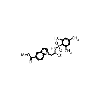 CC[C@@H](Cn1ccc2cc(C(=O)OC)ccc21)NS(=O)(=O)c1c(C)cc(C)cc1C